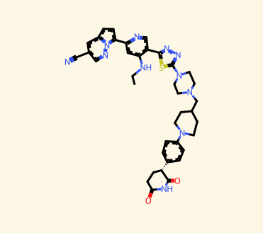 CCNc1cc(-c2ccc3cc(C#N)cnn23)ncc1-c1nnc(N2CCN(CC3CCN(c4ccc([C@H]5CCC(=O)NC5=O)cc4)CC3)CC2)s1